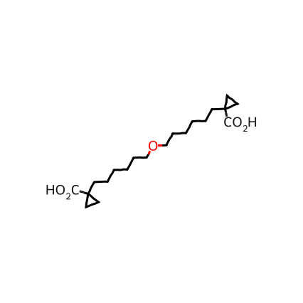 O=C(O)C1(CCCCCCOCCCCCCC2(C(=O)O)CC2)CC1